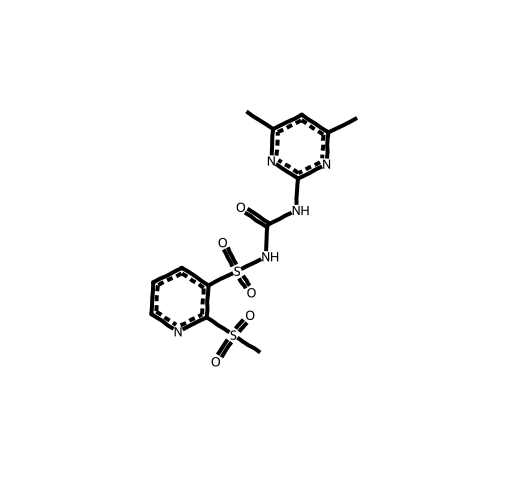 Cc1cc(C)nc(NC(=O)NS(=O)(=O)c2cccnc2S(C)(=O)=O)n1